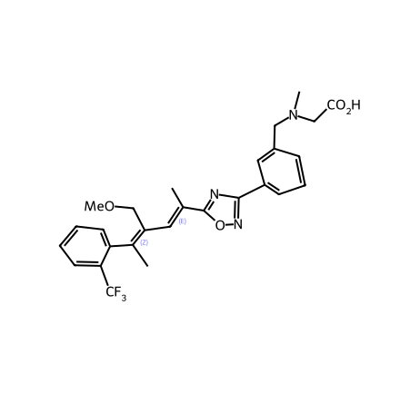 COCC(/C=C(\C)c1nc(-c2cccc(CN(C)CC(=O)O)c2)no1)=C(/C)c1ccccc1C(F)(F)F